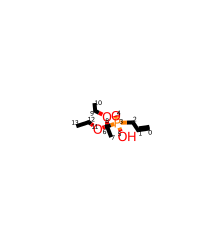 C=CCP(=O)(O)C(C)(OCC)OCC